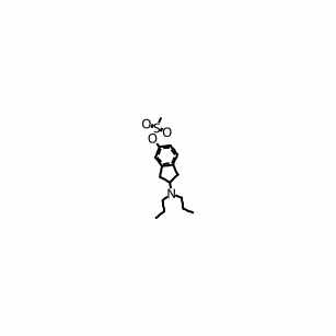 CCCN(CCC)C1Cc2ccc(OS(C)(=O)=O)cc2C1